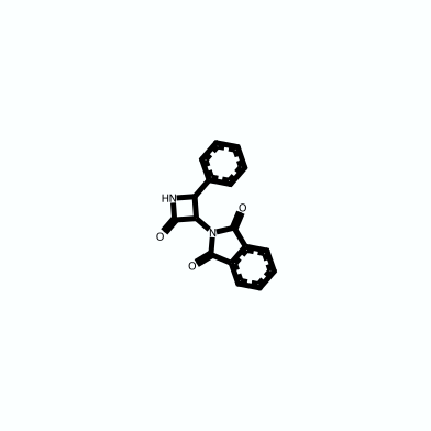 O=C1NC(c2ccccc2)C1N1C(=O)c2ccccc2C1=O